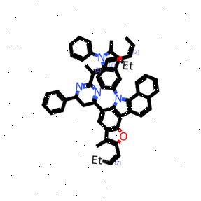 C/C=C\C1c2cc(-n3c4c(c5c6oc(/C=C\CC)c(C)c6cc(C6=NC(/C(C)=C/C=C\CC)=NC(c7ccccc7)C6)c53)C=CC3C=CC=CC43)ccc2N(C2=CCCC=C2)C1C